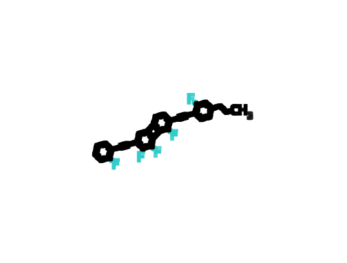 CCCc1ccc(C#Cc2ccc3c(c2F)-c2c-3cc(C#Cc3ccccc3F)c(F)c2F)c(F)c1